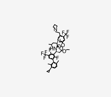 CCOC(=O)C[C@H](NC(=O)C(CC(C)C)n1cc(CCN2CCC2)c(C(F)(F)F)cc1=O)c1c(F)c(-c2c(C)ccc(C3CC3)c2C)cc(C(F)(F)F)c1F